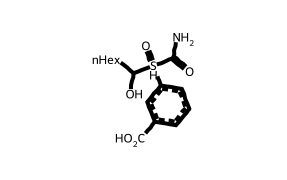 CCCCCCC(O)[SH](=O)(C(N)=O)c1cccc(C(=O)O)c1